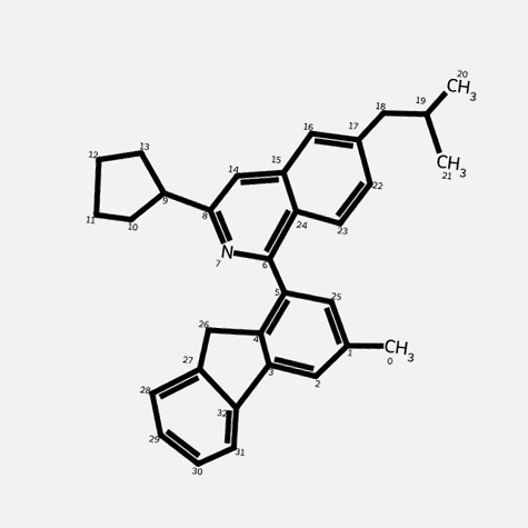 Cc1cc2c(c(-c3nc(C4CCCC4)cc4cc(CC(C)C)ccc34)c1)Cc1ccccc1-2